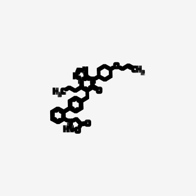 C=CCOC1CCC(n2c(=O)c(Cc3ccc(-c4ccccc4N4CC(=O)ON4)cc3)c(CCC)n3ncnc23)CC1